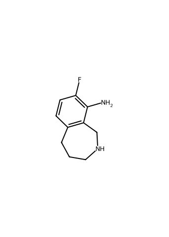 Nc1c(F)ccc2c1CNCCC2